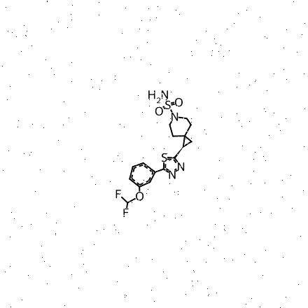 NS(=O)(=O)N1CCC2(CC1)C[C@H]2c1nnc(-c2cccc(OC(F)F)c2)s1